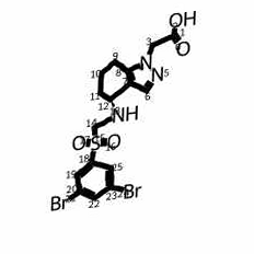 O=C(O)Cn1ncc2c1CCC[C@H]2NCS(=O)(=O)c1cc(Br)cc(Br)c1